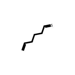 C=C[CH]CCC=S